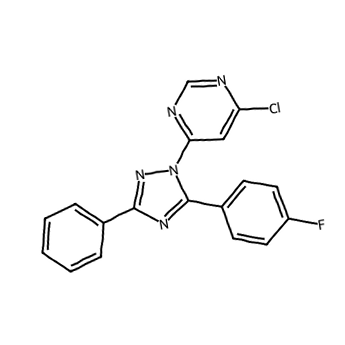 Fc1ccc(-c2nc(-c3ccccc3)nn2-c2cc(Cl)ncn2)cc1